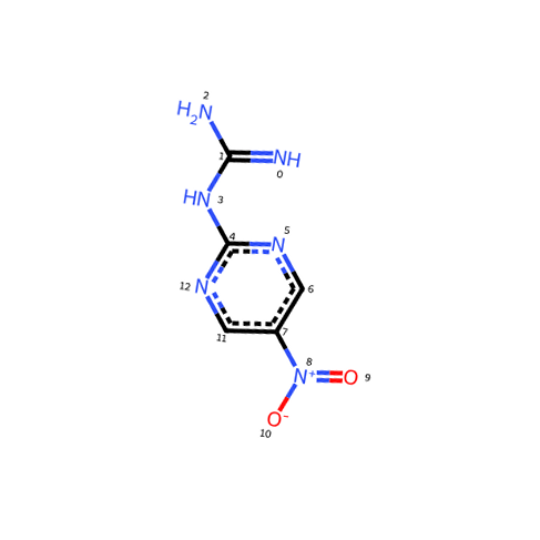 N=C(N)Nc1ncc([N+](=O)[O-])cn1